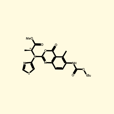 COC(=O)[C@H](C)N(c1cscn1)c1nc2ccc(NC(=O)OC(C)(C)C)c(C)c2c(=O)o1